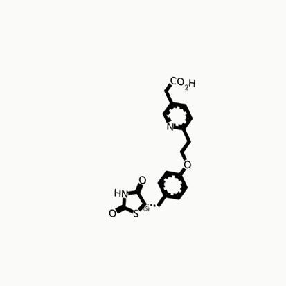 O=C(O)Cc1ccc(CCOc2ccc(C[C@@H]3SC(=O)NC3=O)cc2)nc1